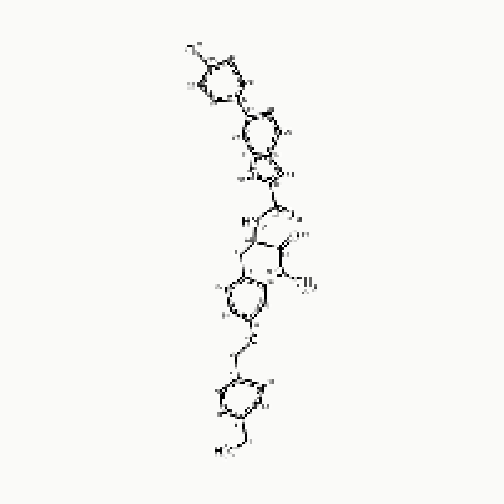 CCc1ccc(COc2ccc(CC(NC(=O)c3cc4ccc(-c5ccc(Cl)cc5)cc4o3)C(=O)OC)cc2)cc1